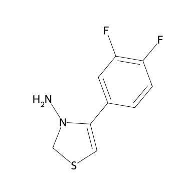 NN1CSC=C1c1ccc(F)c(F)c1